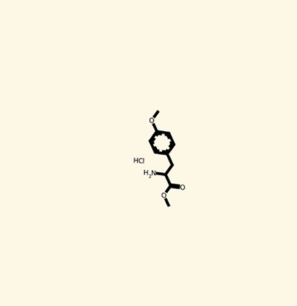 COC(=O)C(N)Cc1ccc(OC)cc1.Cl